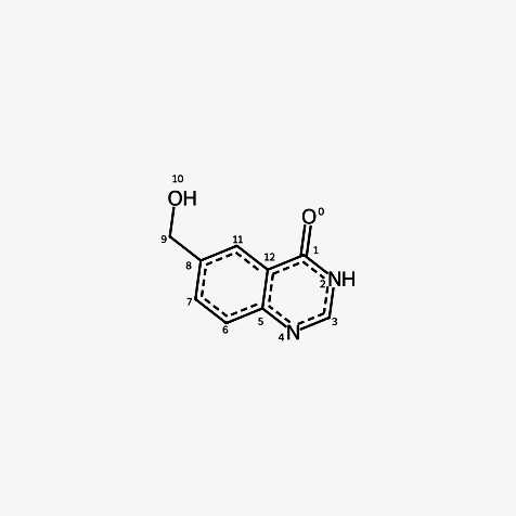 O=c1[nH]cnc2ccc(CO)cc12